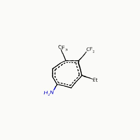 CCc1cc(N)cc(C(F)(F)F)c1C(F)(F)F